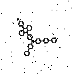 Fc1ccc(-c2c3c(c(-c4ccc(N(c5ccc(-c6ccccc6)cc5)c5ccc(-c6ccc(-c7ccccc7)cc6)cc5)cc4)c4c2CCCC4)CCCC3)cc1